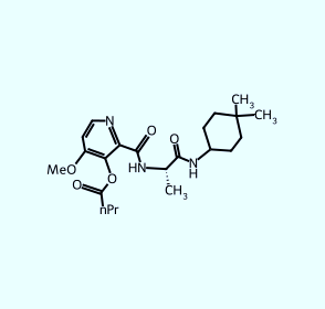 CCCC(=O)Oc1c(OC)ccnc1C(=O)N[C@@H](C)C(=O)NC1CCC(C)(C)CC1